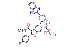 CNC(=O)c1c(-c2ccc(F)cc2)oc2cc(N(C)S(C)(=O)=O)c(-c3cccc(-c4nc5ccccc5[nH]4)c3)cc12